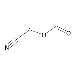 N#C[CH]OC=O